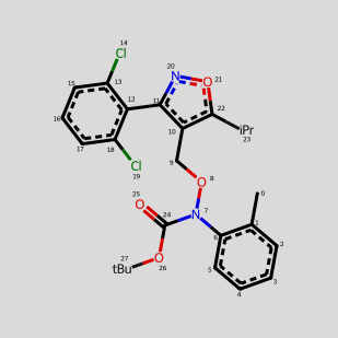 Cc1ccccc1N(OCc1c(-c2c(Cl)cccc2Cl)noc1C(C)C)C(=O)OC(C)(C)C